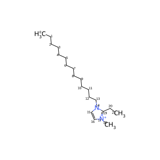 CCCCCCCCCCCCCCn1cc[n+](C)c1CC